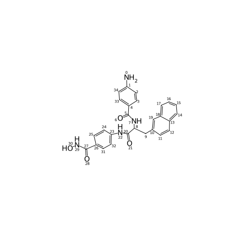 Nc1ccc(C(=O)NC(Cc2ccc3ccccc3c2)C(=O)Nc2ccc(C(=O)NO)cc2)cc1